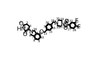 O=C1CCC(N2Cc3cccc(OCc4ccc(CN5CCN(S(=O)(=O)c6ccc(F)c(F)c6)CC5)cc4)c3C2)C(=O)N1